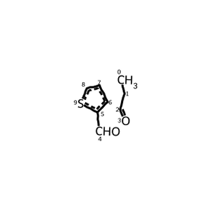 CCC=O.O=Cc1cccs1